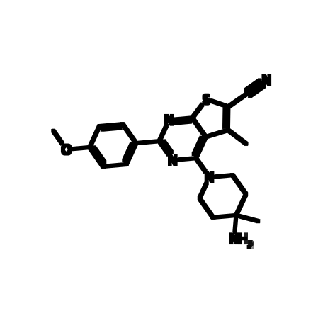 COc1ccc(-c2nc(N3CCC(C)(N)CC3)c3c(C)c(C#N)sc3n2)cc1